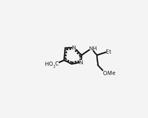 CCC(COC)Nc1ncc(C(=O)O)cn1